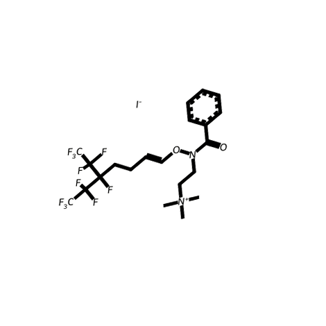 C[N+](C)(C)CCN(OC=CCCC(F)(C(F)(F)C(F)(F)F)C(F)(F)C(F)(F)F)C(=O)c1ccccc1.[I-]